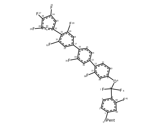 CCCCCc1ccc(C(F)(F)Oc2ccc(-c3ccc(-c4cc(F)c(-c5cc(F)c(F)c(F)c5)c(F)c4)c(F)c3)c(F)c2)c(F)c1